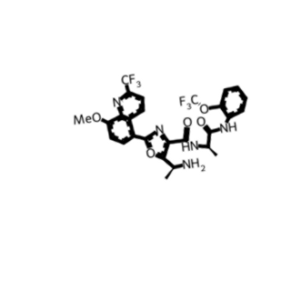 COc1ccc(-c2nc(C(=O)N[C@H](C)C(=O)Nc3ccccc3OC(F)(F)F)c([C@H](C)N)o2)c2ccc(C(F)(F)F)nc12